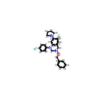 Fc1ccc(N2CN(OCc3ccccc3)Cc3cc(F)c(N4CCCC4)cc32)cc1